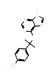 CC(C)(Sc1ncnc2[nH]cnc12)c1ccc([N+](=O)[O-])cc1